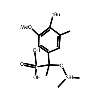 COc1cc(C(C)(O[SiH](C)C)P(=O)(O)O)cc(C)c1C(C)(C)C